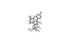 COc1ccc(F)cc1C=C(CNC(=O)OC(C)(C)C)C(=O)O